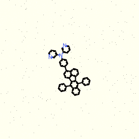 c1ccc(-c2c3c(c(-c4ccccc4)c4ccccc24)-c2ccc(-c4ccc(N(c5cccnc5)c5cccnc5)cc4)c4cccc-3c24)cc1